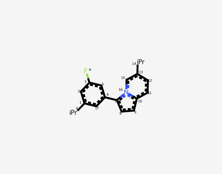 CC(C)c1cc(F)cc(-c2ccc3ccc(C(C)C)cn23)c1